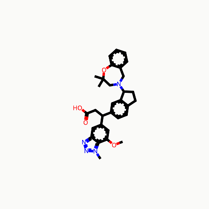 COc1cc(C(CC(=O)O)c2ccc3c(c2)C(N2Cc4ccccc4OC(C)(C)C2)CC3)cc2nnn(C)c12